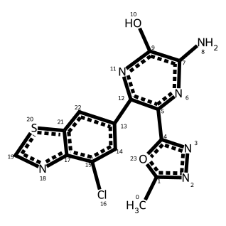 Cc1nnc(-c2nc(N)c(O)nc2-c2cc(Cl)c3ncsc3c2)o1